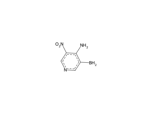 Bc1cncc([N+](=O)[O-])c1N